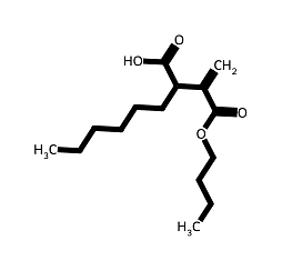 C=C(C(=O)OCCCC)C(CCCCCC)C(=O)O